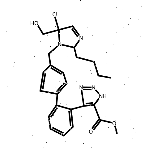 CCCCC1N=CC(Cl)(CO)N1Cc1ccc(-c2ccccc2-c2nn[nH]c2C(=O)OC)cc1